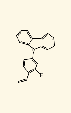 C=Cc1ccc(-n2c3ccccc3c3ccccc32)cc1F